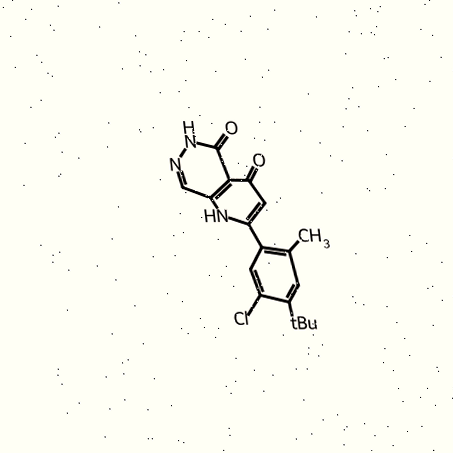 Cc1cc(C(C)(C)C)c(Cl)cc1-c1cc(=O)c2c(=O)[nH]ncc2[nH]1